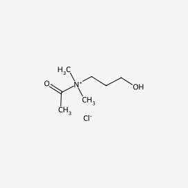 CC(=O)[N+](C)(C)CCCO.[Cl-]